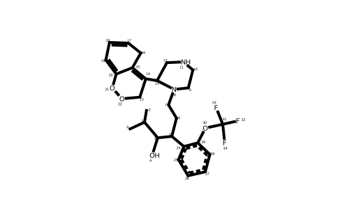 CC(C)C(O)C(CCN1CCNCC1C1=C2CC=CC=C2OOC1)c1ccccc1OC(F)(F)F